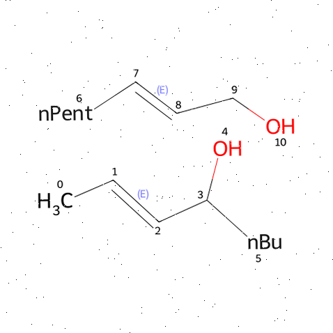 C/C=C/C(O)CCCC.CCCCC/C=C/CO